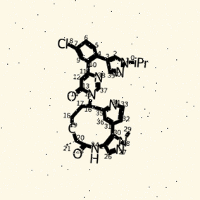 CC(C)n1cc(-c2ccc(Cl)cc2-c2cc(=O)n(C3CCC[C@@H](C)C(=O)Nc4cnn(C)c4-c4ccnc3c4)cn2)cn1